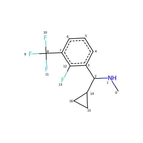 CNC(c1cccc(C(F)(F)F)c1F)C1CC1